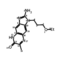 CCOCCCn1c(N)nc2cc3[nH]c(=O)c(C)nc3cc21